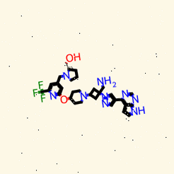 NCC1(n2cc(-c3ncnc4[nH]ccc34)cn2)CC(N2CCC(Oc3cc(CN4CCC[C@H]4CO)cc(C(F)(F)F)n3)CC2)C1